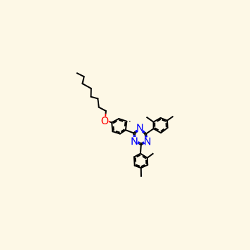 CCCCCCCCOc1c[c]c(-c2nc(-c3ccc(C)cc3C)nc(-c3ccc(C)cc3C)n2)cc1